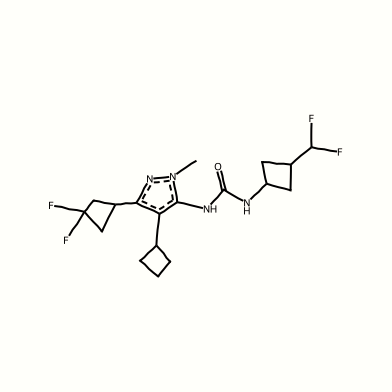 Cn1nc(C2CC(F)(F)C2)c(C2CCC2)c1NC(=O)NC1CC(C(F)F)C1